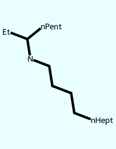 CCCCCCCCCCC[N]C(CC)CCCCC